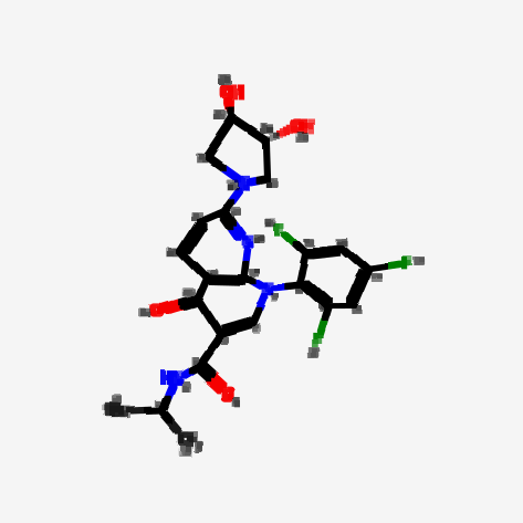 CC(C)(C)C(NC(=O)c1cn(-c2c(F)cc(F)cc2F)c2nc(N3C[C@@H](O)[C@H](O)C3)ccc2c1=O)C(F)(F)F